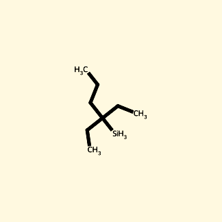 CCCC([SiH3])(CC)CC